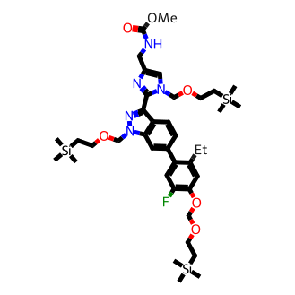 CCc1cc(OCOCC[Si](C)(C)C)c(F)cc1-c1ccc2c(-c3nc(CNC(=O)OC)cn3COCC[Si](C)(C)C)nn(COCC[Si](C)(C)C)c2c1